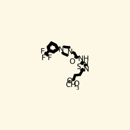 COC(=O)CCc1nnc(NC(=O)CN2CCN(c3cccc(C(F)(F)F)c3)CC2)s1